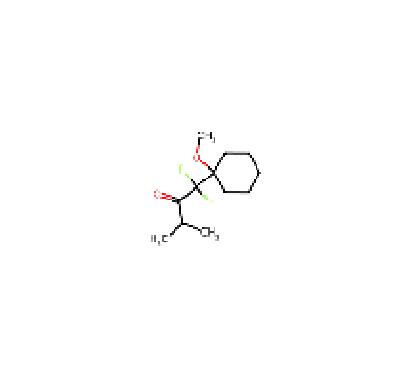 COC1(C(F)(F)C(=O)C(C)C)CCCCC1